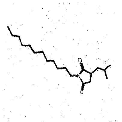 CCCCCCCCCCCCN1C(=O)CC(CC(C)C)C1=O